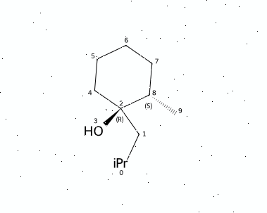 CC(C)C[C@]1(O)CCCC[C@@H]1C